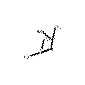 CCCCCCCCOC(CCCC[CH2][Mg][CH2]CCCCC(OCCCCCCCC)OCCCCCCCC)OCCCCCCCC